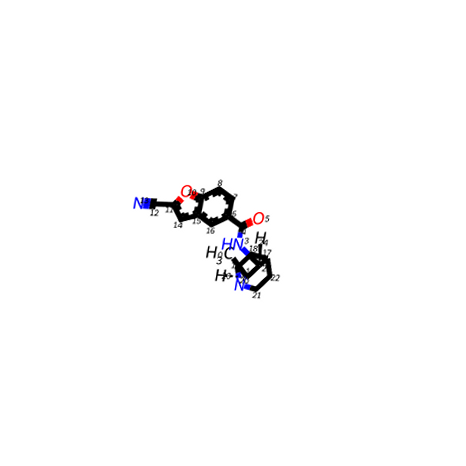 C[C@H]1[C@H](NC(=O)c2ccc3oc(C#N)cc3c2)C2CCN1CC2